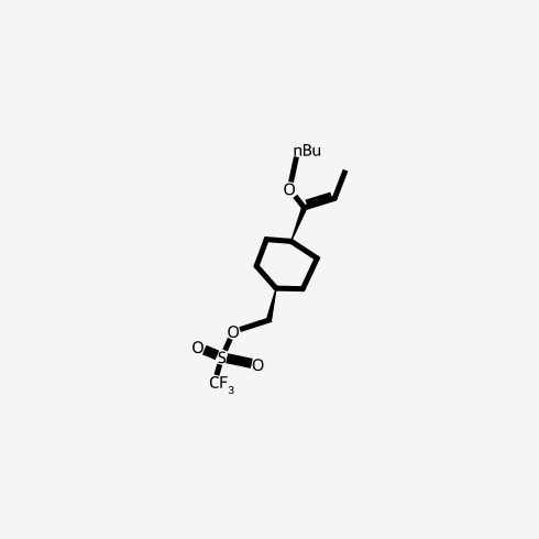 CC=C(OCCCC)[C@H]1CC[C@@H](COS(=O)(=O)C(F)(F)F)CC1